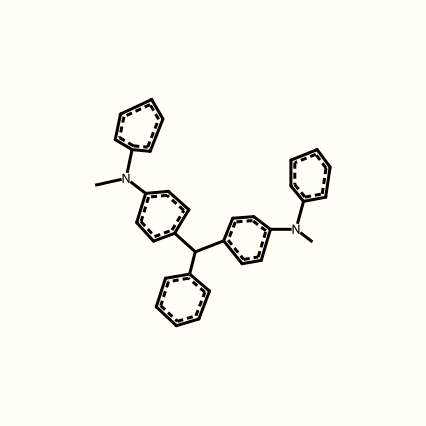 CN(c1ccccc1)c1ccc(C(c2ccccc2)c2ccc(N(C)c3ccccc3)cc2)cc1